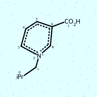 CC(C)C[n+]1cccc(C(=O)O)c1